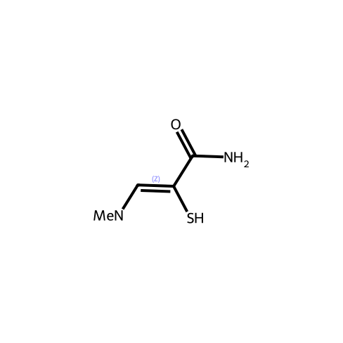 CN/C=C(\S)C(N)=O